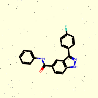 O=C(Nc1ccccc1)c1ccc2[nH]nc(-c3ccc(F)cc3)c2c1